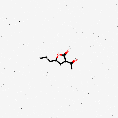 CCCC1CC(C(C)=O)C(=O)O1